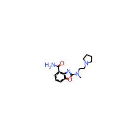 CN(CCN1CCCC1)c1nc2c(C(N)=O)[c]ccc2o1